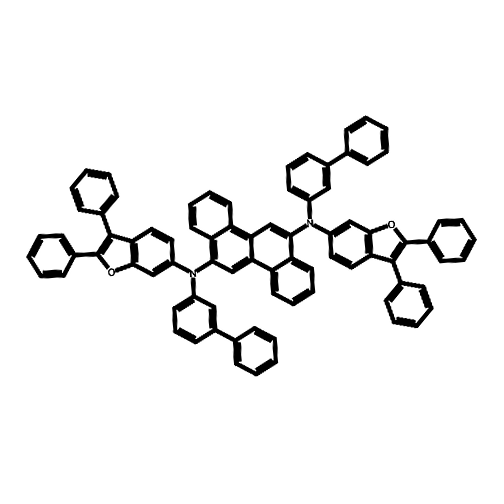 c1ccc(-c2cccc(N(c3ccc4c(-c5ccccc5)c(-c5ccccc5)oc4c3)c3cc4c5ccccc5c(N(c5cccc(-c6ccccc6)c5)c5ccc6c(-c7ccccc7)c(-c7ccccc7)oc6c5)cc4c4ccccc34)c2)cc1